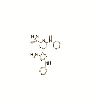 NC(=P)c1nc(Nc2ccccc2)cc(-n2nc(Nc3ccccc3)nc2N)n1